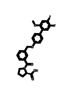 COc1cc(F)c(F)cc1-c1ccc(OCc2cccc(C(=O)N3CCC[C@@H]3C(=O)O)c2)cc1